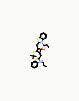 CCCN1/C(=C\C2=C(SC(C)(C)C)C(=C\c3sc4ccccc4[n+]3CCC)/C2=O)Sc2ccccc21